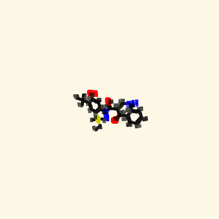 CCS(C)(C)c1cc(C(C)(C)C)c(O)cc1NC(=O)c1c[nH]c2ccccc2c1=O